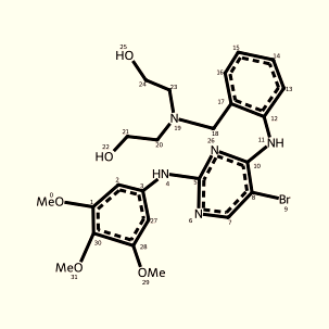 COc1cc(Nc2ncc(Br)c(Nc3ccccc3CN(CCO)CCO)n2)cc(OC)c1OC